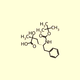 CC(C)(C)OC(=O)N[C@@H](CC[C@@](C)(O)C(=O)O)Cc1ccccc1